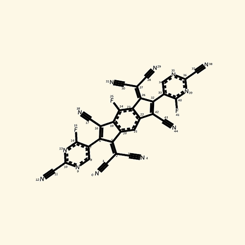 N#CC(C#N)=C1C(c2cnc(C#N)nc2F)=C(C#N)c2c1cc1c(c2F)C(=C(C#N)C#N)C(c2cnc(C#N)nc2F)=C1C#N